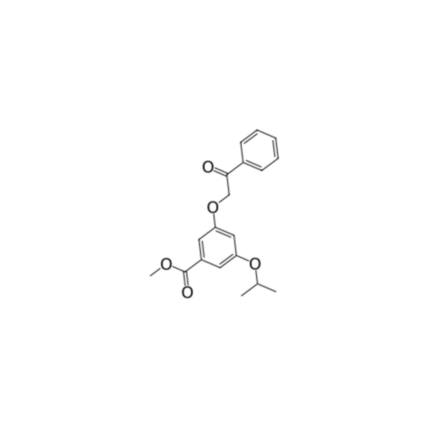 COC(=O)c1cc(OCC(=O)c2ccccc2)cc(OC(C)C)c1